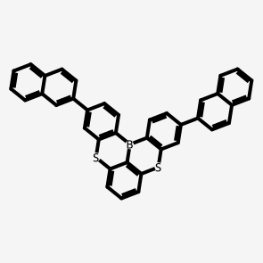 c1cc2c3c(c1)Sc1cc(-c4ccc5ccccc5c4)ccc1B3c1ccc(-c3ccc4ccccc4c3)cc1S2